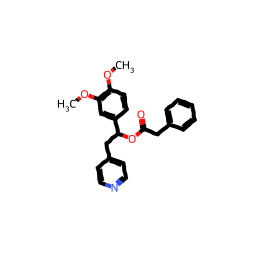 COc1ccc(C(Cc2ccncc2)OC(=O)Cc2ccccc2)cc1OC